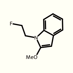 COc1cc2ccccc2n1CCF